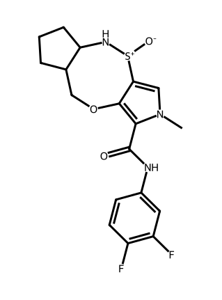 Cn1cc2c(c1C(=O)Nc1ccc(F)c(F)c1)OCC1CCCC1N[S+]2[O-]